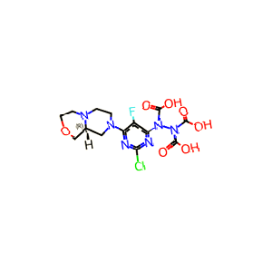 O=C(O)N(C(=O)O)N(C(=O)O)c1nc(Cl)nc(N2CCN3CCOC[C@H]3C2)c1F